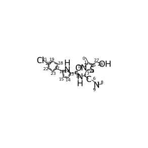 Cc1nc(C(CCN(C)C)NC(=O)c2ccc(-c3ccc(Cl)cc3)[nH]2)sc1CO